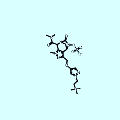 CN(C)C(=O)C1c2c(c(COc3cnn(CC[N+](C)(C)C)c3)nn2C)C2CN1C(=O)N2OS(=O)(=O)[O-]